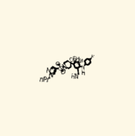 CCCn1cc(S(=O)(=O)N2CCC(C(=O)OCC)(c3cc(C=N)c(Nc4ccc(F)cc4)cc3C)CC2)cn1